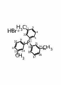 Br.Cc1cccc(P(c2cccc(C)c2)c2cccc(C)c2)c1